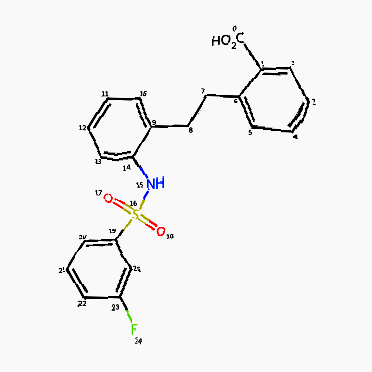 O=C(O)c1ccccc1CCc1ccccc1NS(=O)(=O)c1cccc(F)c1